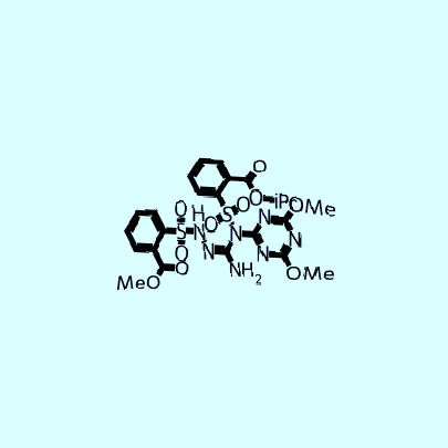 COC(=O)c1ccccc1S(=O)(=O)NN=C(N)N(c1nc(OC)nc(OC)n1)S(=O)(=O)c1ccccc1C(=O)OC(C)C